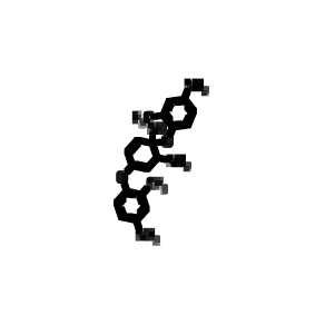 Nc1ccc(OC2=CC(N)C(N)(Oc3ccc(N)cc3C(F)(F)F)C=C2)c(C(F)(F)F)c1